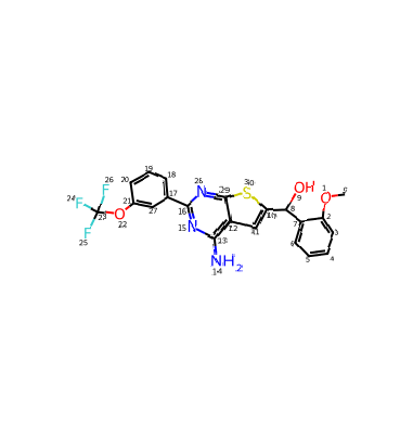 COc1ccccc1C(O)c1cc2c(N)nc(-c3cccc(OC(F)(F)F)c3)nc2s1